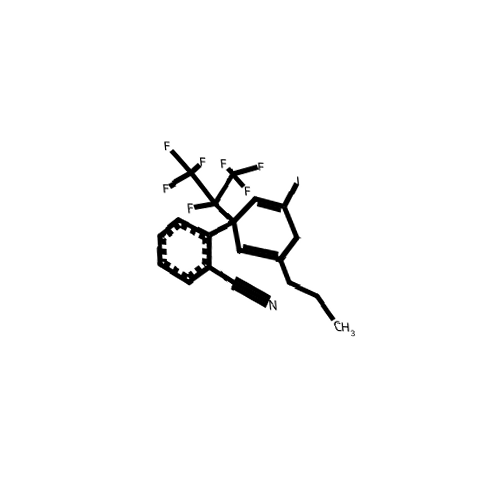 CCCC1=CC(c2ccccc2C#N)(C(F)(C(F)(F)F)C(F)(F)F)C=C(I)[CH]1